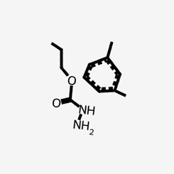 CCCOC(=O)NN.Cc1cccc(C)c1